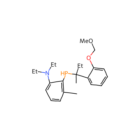 CCN(CC)c1cccc(C)c1PC(C)(CC)c1ccccc1OCOC